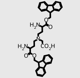 NC(CCN(CCC(N)C(=O)OCC1c2ccccc2-c2ccccc21)CC(=O)O)C(=O)OCC1c2ccccc2-c2ccccc21